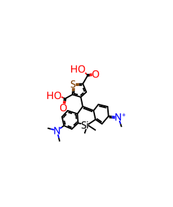 CN(C)c1ccc2c(c1)[Si](C)(C)C1=CC(=[N+](C)C)C=CC1=C2c1cc(C(=O)O)sc1C(=O)O